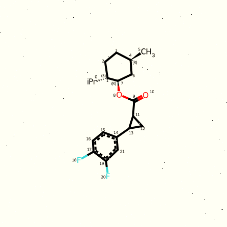 CC(C)[C@@H]1CC[C@@H](C)C[C@H]1OC(=O)C1CC1c1ccc(F)c(F)c1